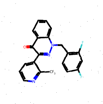 O=c1c(-c2cccnc2C(F)(F)F)nn(Cc2ccc(F)cc2F)c2ccccc12